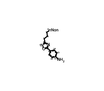 CCCCCCCCCCCCc1noc(-c2ccc(N)cc2)n1